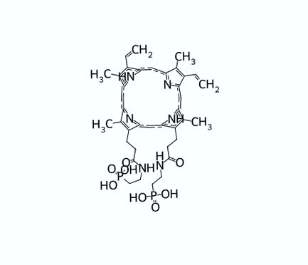 C=CC1=C(C)c2cc3[nH]c(cc4nc(cc5[nH]c(cc1n2)c(C)c5CCC(=O)NCCP(=O)(O)O)C(CCC(=O)NCCP(=O)(O)O)=C4C)c(C)c3C=C